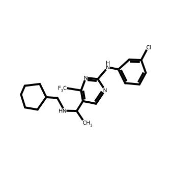 CC(NCC1CCCCC1)c1cnc(Nc2cccc(Cl)c2)nc1C(F)(F)F